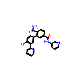 NC(=O)c1ccc(C(=O)Nc2cccnc2)cc1-c1ccc(Cl)c(-c2ccccn2)c1